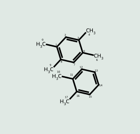 Cc1cc(C)c(C)cc1C.Cc1ccccc1C